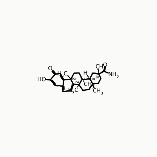 C[C@@]1(C(N)=O)CC[C@]2(C)CC[C@]3(C)C4=CC=C5C=C(O)C(=O)C=C5[C@]4(C)CC[C@@]3(C)[C@@H]2C1